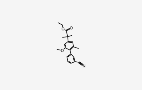 CCOC(=O)C(C)(C)c1cc(C)c(-c2cccc(C#N)c2)c(OC)c1